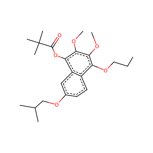 CCCOc1c(OC)c(OC)c(OC(=O)C(C)(C)C)c2cc(OCC(C)C)ccc12